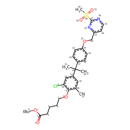 CC(C)(C)OC(=O)CCCCOc1c(Cl)cc(C(C)(C)c2ccc(OCc3ccnc(S(C)(=O)=O)n3)cc2)cc1C#N